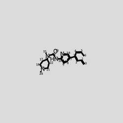 C=C/C=C(\C=C/C)c1ccc(NC(=O)N(C)C2CCN(C)CC2)nc1